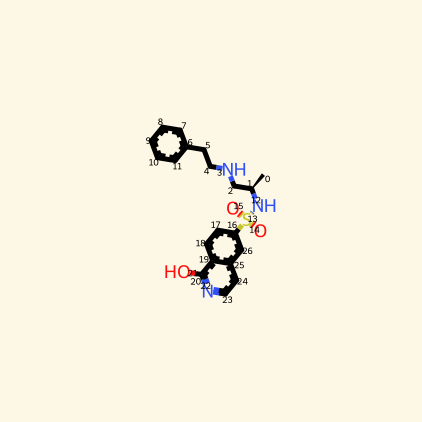 C[C@H](CNCCc1ccccc1)NS(=O)(=O)c1ccc2c(O)nccc2c1